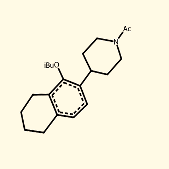 CC(=O)N1CCC(c2ccc3c(c2OCC(C)C)CCCC3)CC1